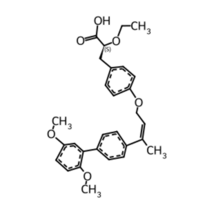 CCO[C@@H](Cc1ccc(OCC=C(C)c2ccc(-c3cc(OC)ccc3OC)cc2)cc1)C(=O)O